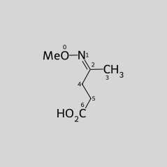 CON=C(C)CCC(=O)O